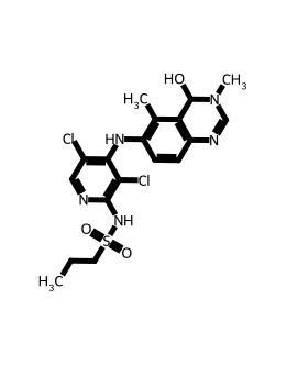 CCCS(=O)(=O)Nc1ncc(Cl)c(Nc2ccc3c(c2C)C(O)N(C)C=N3)c1Cl